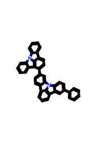 c1ccc(-c2ccc3c(c2)c2cccc4c5ccc(-c6ccc7c8ccccc8n8c9ccccc9c6c78)cc5n3c24)cc1